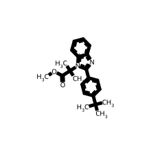 COC(=O)C(C)(C)n1c(-c2ccc(C(C)(C)C)cc2)nc2ccccc21